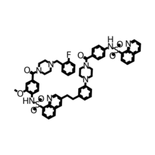 COc1cc(C(=O)N2CCN(Cc3ccccc3F)CC2)ccc1NS(=O)(=O)c1cccc2cc(CCc3cccc(N4CCN(C(=O)c5ccc(NS(=O)(=O)c6cccc7cccnc67)cc5)CC4)c3)cnc12